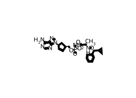 C[C@H](NOC(c1ccccc1)C1CC1)C(=O)OP(N)(=O)OC[C@H]1C=C[C@@H](n2cnc3c(N)ncnc32)C1